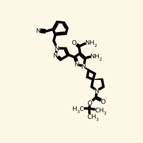 CC(C)(C)OC(=O)N1CC[C@]2(C1)C[C@H](n1nc(-c3cnn(Cc4ccccc4C#N)c3)c(C(N)=O)c1N)C2